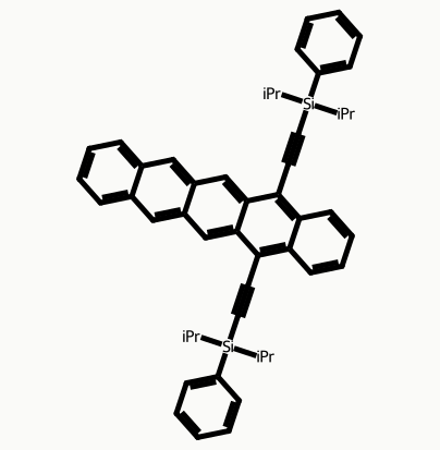 CC(C)[Si](C#Cc1c2ccccc2c(C#C[Si](c2ccccc2)(C(C)C)C(C)C)c2cc3cc4ccccc4cc3cc12)(c1ccccc1)C(C)C